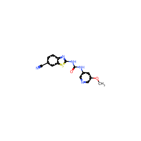 COc1cncc(NC(=O)Nc2nc3ccc(C#N)cc3s2)c1